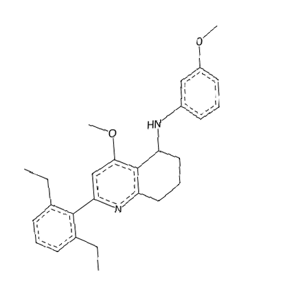 CCc1cccc(CC)c1-c1cc(OC)c2c(n1)CCCC2Nc1cccc(OC)c1